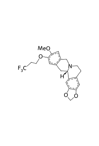 COc1cc2c(cc1OCCC(F)(F)F)C[C@H]1c3cc4c(cc3CCN1C2)OCO4